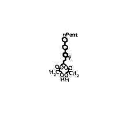 C=C(CO)C(=O)OCC(CCc1ccc(C2=CCC(C3CCC(CCCCC)CC3)CC2)cc1F)COC(=O)C(=C)CO